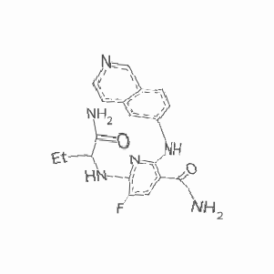 CCC(Nc1nc(Nc2ccc3cnccc3c2)c(C(N)=O)cc1F)C(N)=O